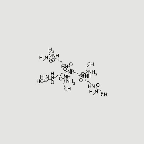 C#CCC(N)C(=O)NCCCCC(NC(=O)C(N)CC#C)C(=O)NCCCCC(NC(=O)C(CCCCNC(=O)C(N)CC#C)NC(=O)C(N)CC#C)C(=O)NCCCCCC(=O)NC(C)C(N)=O